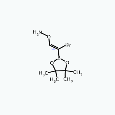 CC(C)/C(=C\ON)B1OC(C)(C)C(C)(C)O1